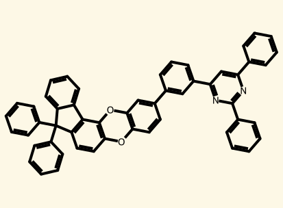 c1ccc(-c2cc(-c3cccc(-c4ccc5c(c4)Oc4c(ccc6c4-c4ccccc4C6(c4ccccc4)c4ccccc4)O5)c3)nc(-c3ccccc3)n2)cc1